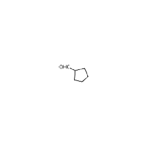 O=[C]C1CCCC1